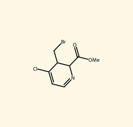 COC(=O)C1N=CC=C(Cl)C1CBr